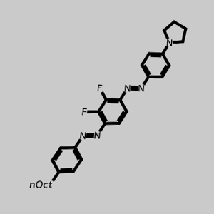 CCCCCCCCc1ccc(/N=N/c2ccc(/N=N/c3ccc(N4CCCC4)cc3)c(F)c2F)cc1